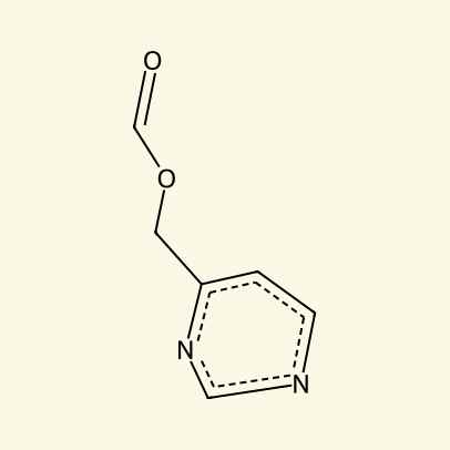 O=COCc1ccncn1